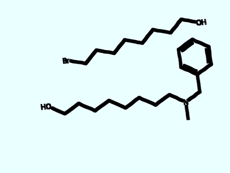 CN(CCCCCCCCO)Cc1ccccc1.OCCCCCCCCBr